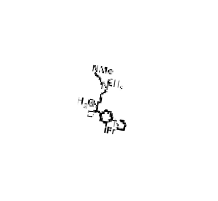 CNCCCN(C)CCCN(C)C(=O)c1ccc(-n2cccc2)c(C(C)C)c1